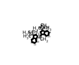 [CH2]=[Zr]([CH]1C=C([Si](C)(C)C)c2ccccc21)[CH]1C=C([Si](C)(C)C)c2ccccc21